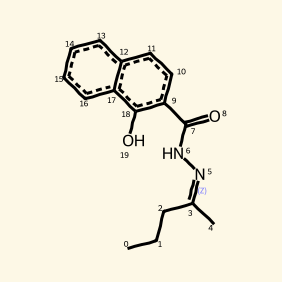 CCC/C(C)=N\NC(=O)c1ccc2ccccc2c1O